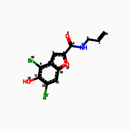 C=CCNC(=O)c1cc2c(Br)c(O)c(Br)cc2o1